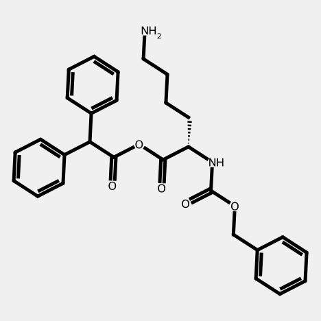 NCCCC[C@H](NC(=O)OCc1ccccc1)C(=O)OC(=O)C(c1ccccc1)c1ccccc1